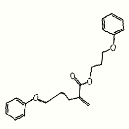 C=C(CCCOc1ccccc1)C(=O)OCCCOc1ccccc1